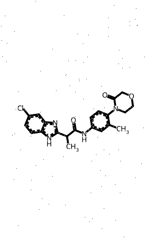 Cc1cc(NC(=O)C(C)c2nc3cc(Cl)ccc3[nH]2)ccc1N1CCOCC1=O